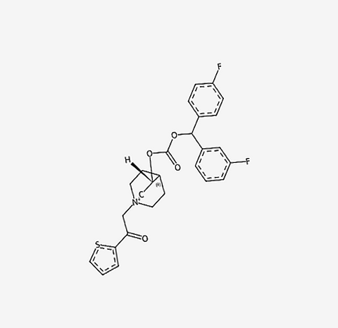 O=C(OC(c1ccc(F)cc1)c1cccc(F)c1)O[C@H]1C[N+]2(CC(=O)c3cccs3)CCC1CC2